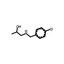 CC(O)CNCc1ccc(Cl)cc1